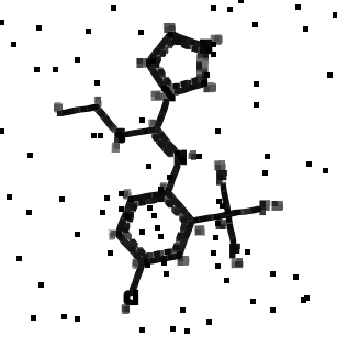 CCSC(=Nc1ccc(Cl)cc1C(F)(F)F)n1ccnc1